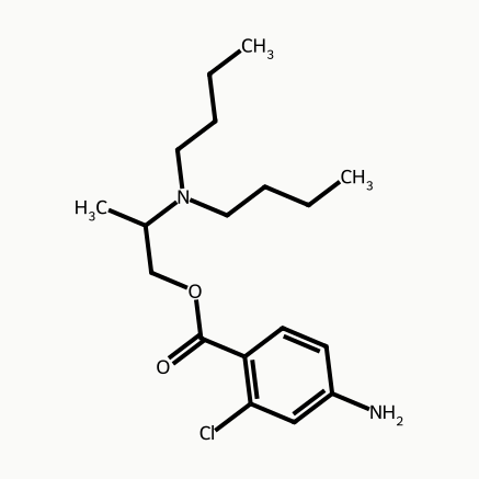 CCCCN(CCCC)C(C)COC(=O)c1ccc(N)cc1Cl